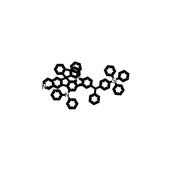 c1ccc(C(c2ccc([Si](c3ccccc3)(c3ccccc3)c3ccccc3)cc2)c2ccc3c(c2)c2cc(N(c4ccccc4)c4ccccc4)c4c(c2n3-c2ccccc2)C2(c3ccccc3-c3ccccc32)c2cc3ccncc3cc2-4)cc1